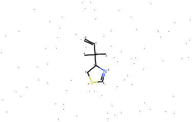 C=CC(C)(C)C1CSC=N1